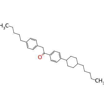 CCCCCc1ccc(CC(=O)c2ccc(C3CCC(CCCCC)CC3)cc2)cc1